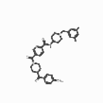 COc1ccc(C(=O)C2CCN(C(=O)c3ccc(C(=O)NC4CCN(Cc5cc(F)cc(F)c5)CC4)nc3)CC2)cc1